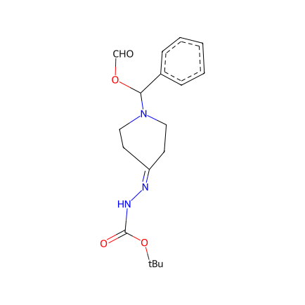 CC(C)(C)OC(=O)NN=C1CCN(C(OC=O)c2ccccc2)CC1